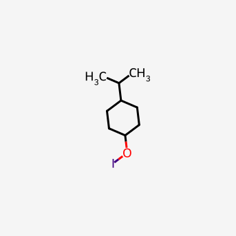 CC(C)C1CCC(OI)CC1